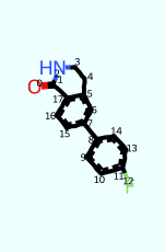 O=C1NCCc2cc(-c3ccc(F)cc3)ccc21